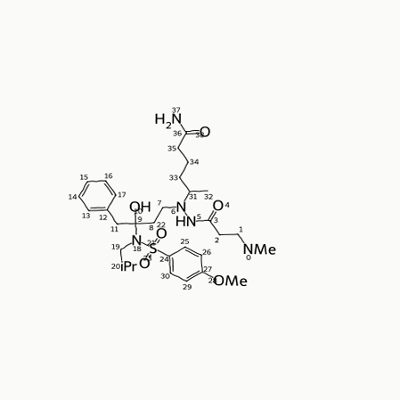 CNCCC(=O)NN(CCC(O)(Cc1ccccc1)N(CC(C)C)S(=O)(=O)c1ccc(OC)cc1)C(C)CCCC(N)=O